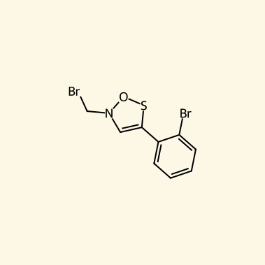 BrCN1C=C(c2ccccc2Br)SO1